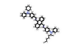 CCCCCC(C)N(c1ccccc1)c1ccc(/C=C/c2c3ccccc3c(/C=C/c3ccc(N(c4ccccc4)C4CCCCC4)cc3)c3ccccc23)cc1